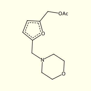 CC(=O)OCc1ccc(CN2CCOCC2)o1